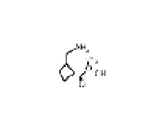 COC=O.Cl.NCC1CCC1